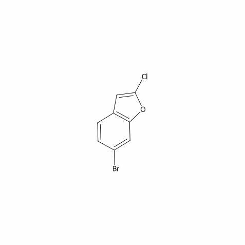 Clc1cc2ccc(Br)cc2o1